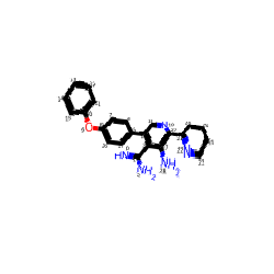 N=C(N)c1c(-c2ccc(Oc3ccccc3)cc2)cnc(C2=NCCC=C2)c1N